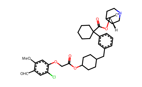 COc1cc(OCC(=O)OC2CCC(Cc3cccc(C4(C(=O)O[C@H]5CN6CCC5CC6)CCCCC4)c3)CC2)c(Cl)cc1C=O